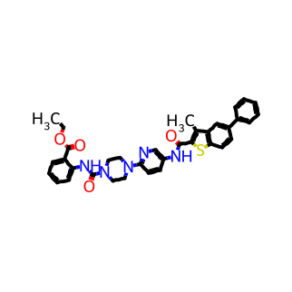 CCOC(=O)c1ccccc1NC(=O)N1CCN(c2ccc(NC(=O)c3sc4ccc(-c5ccccc5)cc4c3C)cn2)CC1